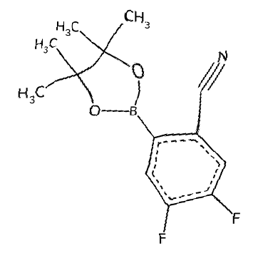 CC1(C)OB(c2cc(F)c(F)cc2C#N)OC1(C)C